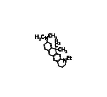 CCN1CCCc2cc3c(cc21)C(C)(C)C1=CC(=[N+](C)C)C=CC1=C3